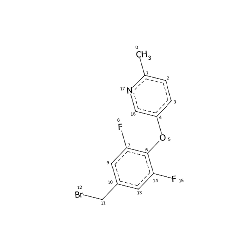 Cc1ccc(Oc2c(F)cc(CBr)cc2F)cn1